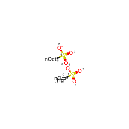 CCCCCCCCS(=O)(=O)[O-].CCCCCCCCS(=O)(=O)[O-].[Hg+2]